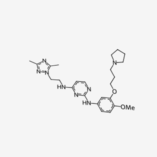 COc1ccc(Nc2nccc(NCCn3nc(C)nc3C)n2)cc1OCCCN1CCCC1